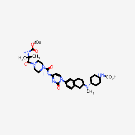 CN(C1CCc2cc(-n3ccc(NC(=O)N4CCN(C(=O)C(C)(C)NC(=O)OC(C)(C)C)CC4)nc3=O)ccc2C1)[C@H]1CC[C@H](NC(=O)O)CC1